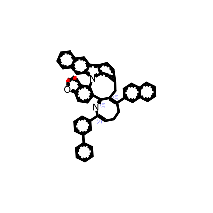 C1=C(c2cccc(-c3ccccc3)c2)/N=C2\C(=C(\c3ccc4ccccc4c3)CC\1)Cc1ccc3c4cc5ccccc5cc4n(c3c1)-c1c2ccc2oc3ccccc3c12